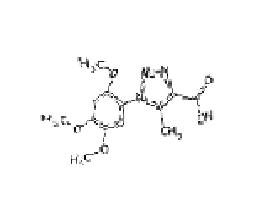 COc1cc(OC)c(-n2nnc(C(=O)O)c2C)cc1OC